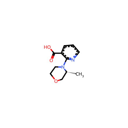 C[C@@H]1COCCN1c1ncccc1C(=O)O